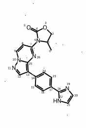 CC1COC(=O)N1c1ccn2ncc(-c3ccc(-c4ncc[nH]4)cc3)c2n1